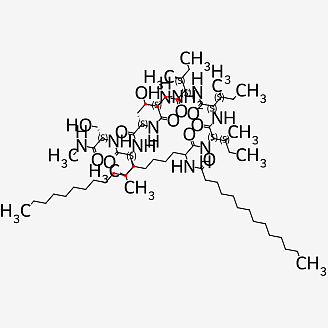 CCCCCCCCCCCCCCCCC(NC(=O)CCCCCCCCCCCCC)C(=O)N[C@H](C(=O)N[C@H](C(=O)N[C@H](C(=O)N[C@@H](CO)C(=O)N[C@@H](CCCCN)C(=O)N[C@@H](CC(C)C)C(=O)N[C@@H](CO)C(=O)NC)[C@@H](C)CC)[C@@H](C)CC)[C@@H](C)CC